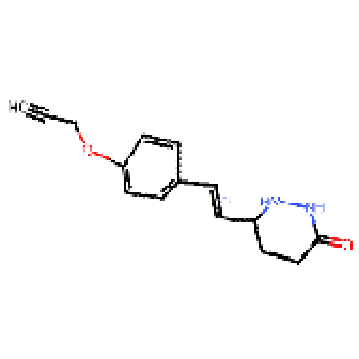 C#CCOc1ccc(/C=C/C2CCC(=O)NN2)cc1